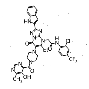 CCc1c(N2CCN(C(=O)c3ncnc(C)c3O)CC2)c(=O)n2nc(-c3cc4ccccc4[nH]3)nc2n1CC(=O)Nc1ccc(C(F)(F)F)cc1Cl